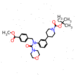 COC(=O)c1ccc(CN(C(=O)N2CCOCC2)c2cccc(C3CCN(C(=O)OC(C)(C)C)CC3)c2)cc1